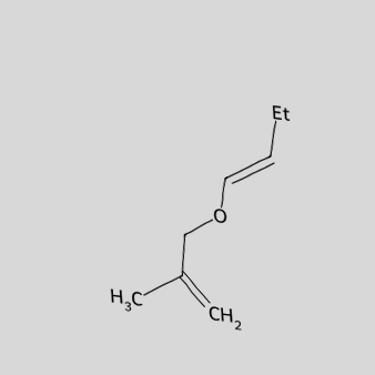 C=C(C)CO/C=C/CC